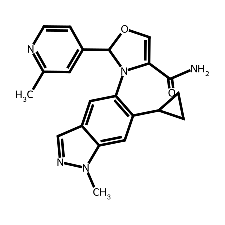 Cc1cc(C2OC=C(C(N)=O)N2c2cc3cnn(C)c3cc2C2CC2)ccn1